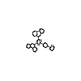 C1=CC2=CC(C=C1)c1ccccc1C=C2c1cc(-c2cc3ccccc3c3ccccc23)nc(-c2ccc(-c3ccccn3)cc2)n1